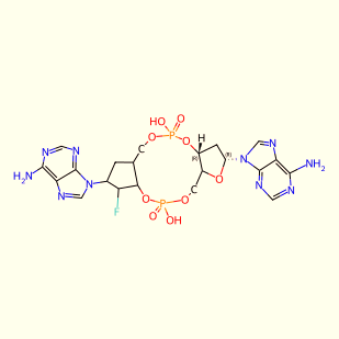 Nc1ncnc2c1ncn2C1CC2COP(=O)(O)O[C@@H]3C[C@H](n4cnc5c(N)ncnc54)OC3COP(=O)(O)OC2C1F